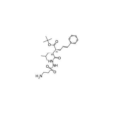 CC(C)C[C@@H](C(=O)NNS(=O)(=O)CCN)[C@H](CC=Cc1ccccc1)C(=O)OC(C)(C)C